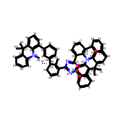 CC1=C(c2nc(-c3ccccc3)nc(-c3cccc(-c4ccccc4)c3N3c4ccccc4C(C)(C)c4ccccc43)n2)C=CC[C@@]1(C)c1cccc(-c2cccc3c2N(C)c2ccccc2C3(C)C)c1